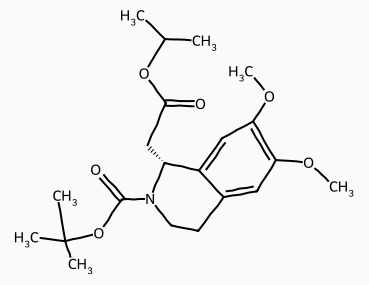 COc1cc2c(cc1OC)[C@@H](CC(=O)OC(C)C)N(C(=O)OC(C)(C)C)CC2